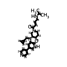 CC(C)NCC=CC(=O)N1CCC[C@H](N(CC2CC2)c2cc(-c3ccncc3)c[nH]c2=O)C1